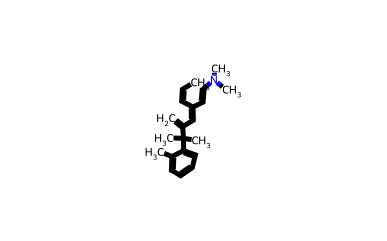 C=C(/C=C(\C=C/C)/C=C/N(C)C)C(C)(C)c1ccccc1C